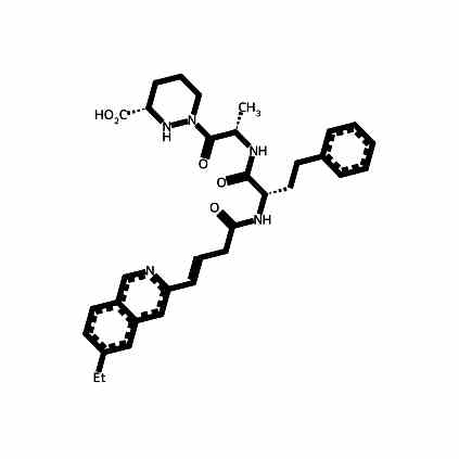 CCc1ccc2cnc(/C=C/CC(=O)N[C@@H](CCc3ccccc3)C(=O)N[C@@H](C)C(=O)N3CCC[C@@H](C(=O)O)N3)cc2c1